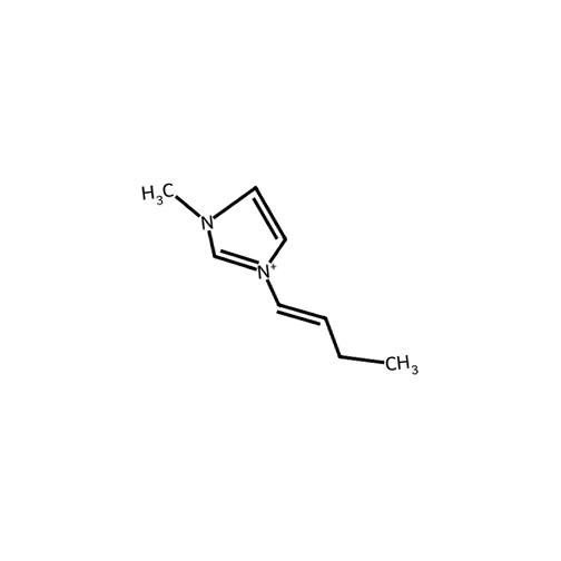 CC/C=C/[n+]1ccn(C)c1